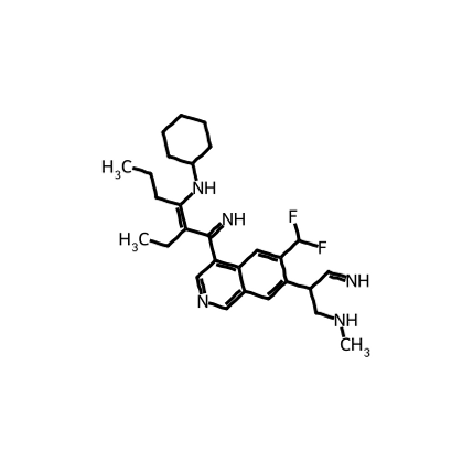 CCC/C(NC1CCCCC1)=C(\CC)C(=N)c1cncc2cc(C(C=N)CNC)c(C(F)F)cc12